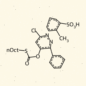 CCCCCCCCSC(=O)Oc1cc(Cl)nnc1-c1ccccc1.Cc1ccccc1S(=O)(=O)O